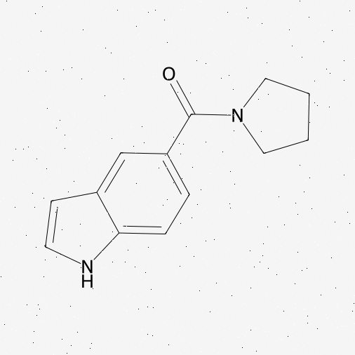 O=C(c1ccc2[nH]ccc2c1)N1CCCC1